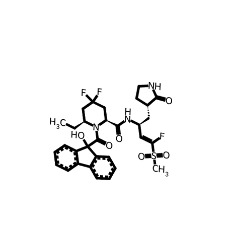 CC[C@H]1CC(F)(F)C[C@@H](C(=O)N[C@H](/C=C(\F)S(C)(=O)=O)C[C@@H]2CCNC2=O)N1C(=O)C1(O)c2ccccc2-c2ccccc21